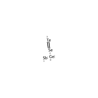 [Ge].[Sb].[Se]=[Te]